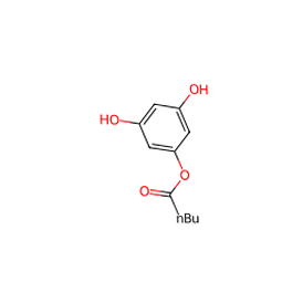 [CH2]CCCC(=O)Oc1cc(O)cc(O)c1